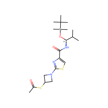 CC(=O)SC1CN(c2nc(C(=O)N[C@@H](O[Si](C)(C)C(C)(C)C)C(C)C)cs2)C1